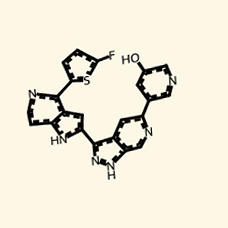 Oc1cncc(-c2cc3c(-c4cc5c(-c6ccc(F)s6)nccc5[nH]4)n[nH]c3cn2)c1